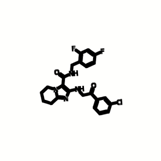 O=C(CNc1nc2n(c1C(=O)NCc1ccc(F)cc1F)CCCC2)c1cccc(Cl)c1